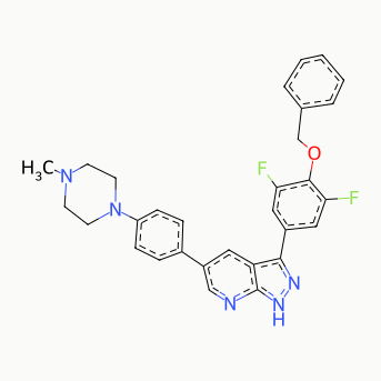 CN1CCN(c2ccc(-c3cnc4[nH]nc(-c5cc(F)c(OCc6ccccc6)c(F)c5)c4c3)cc2)CC1